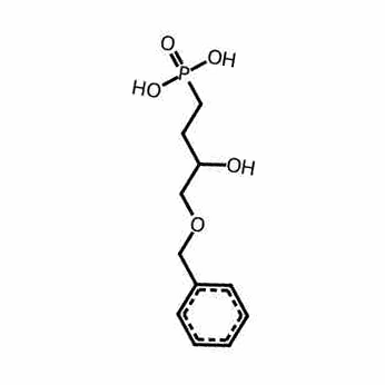 O=P(O)(O)CCC(O)COCc1ccccc1